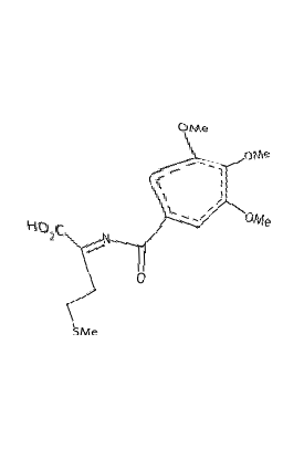 COc1cc(C(=O)N=C(CCSC)C(=O)O)cc(OC)c1OC